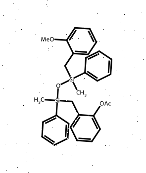 COc1ccccc1C[Si](C)(O[Si](C)(Cc1ccccc1OC(C)=O)c1ccccc1)c1ccccc1